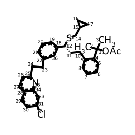 CC(=O)OC(C)(C)c1ccccc1CC[C@@H](SCC1CC1)c1cccc(CCc2ccc3ccc(Cl)cc3n2)c1